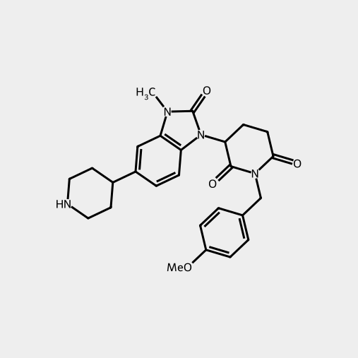 COc1ccc(CN2C(=O)CCC(n3c(=O)n(C)c4cc(C5CCNCC5)ccc43)C2=O)cc1